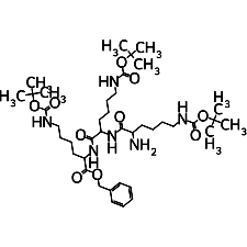 CC(C)(C)OC(=O)NCCCCC(N)C(=O)NC(CCCCNC(=O)OC(C)(C)C)C(=O)NC(CCCCNC(=O)OC(C)(C)C)C(=O)OCc1ccccc1